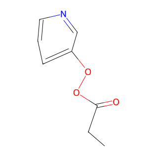 CCC(=O)OOc1cccnc1